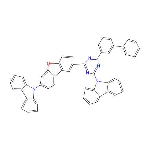 c1ccc(-c2cccc(-c3nc(-c4ccc5oc6cc(-n7c8ccccc8c8ccccc87)ccc6c5c4)nc(-n4c5ccccc5c5ccccc54)n3)c2)cc1